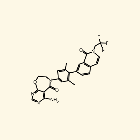 Cc1cc(N2CCOc3ncnc(N)c3C2=O)cc(C)c1-c1ccc2ccn(CC(F)(F)F)c(=O)c2c1